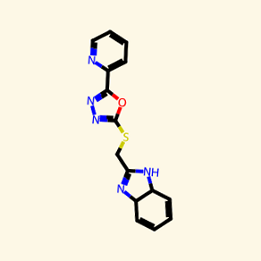 C1=CC2N=C(CSc3nnc(-c4ccccn4)o3)NC2C=C1